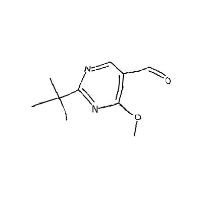 COc1nc(C(C)(C)C)ncc1C=O